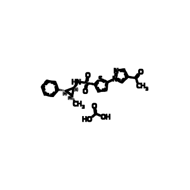 CC(=O)c1cnn(-c2ccc(S(=O)(=O)N[C@H]3[C@H](C)[C@@H]3c3ccccc3)s2)c1.O=C(O)O